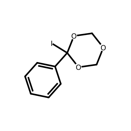 IC1(c2ccccc2)OCOCO1